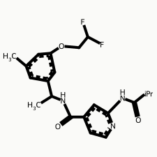 Cc1cc(OCC(F)F)cc(C(C)NC(=O)c2ccnc(NC(=O)C(C)C)c2)c1